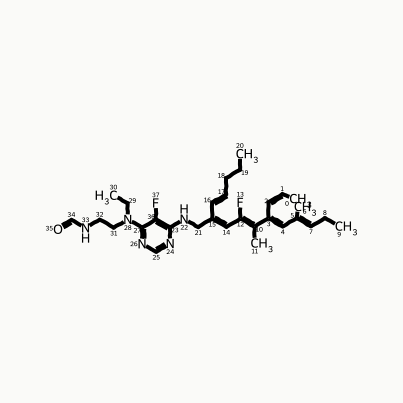 C\C=C/C(=C\C(C)=C\CC)C(/C)=C(F)/C=C(\C=C\CCC)CNc1ncnc(N(CC)CCNC=O)c1F